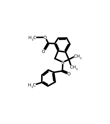 COC(=O)c1cccc2c1CN(C(=O)c1ccc(C)cc1)C2(C)C